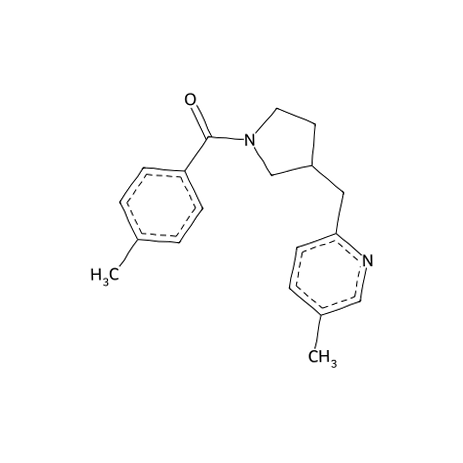 Cc1ccc(C(=O)N2CCC(Cc3ccc(C)cn3)C2)cc1